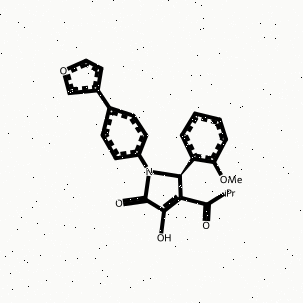 COc1ccccc1[C@H]1C(C(=O)C(C)C)=C(O)C(=O)N1c1ccc(-c2ccoc2)cc1